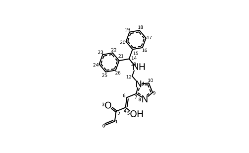 C=CC(=O)/C(O)=C/c1nccn1CNC(c1ccccc1)c1ccccc1